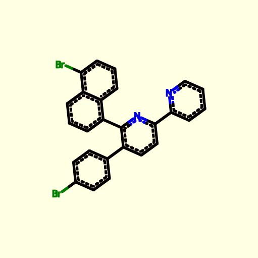 Brc1ccc(-c2ccc(-c3ccccn3)nc2-c2cccc3c(Br)cccc23)cc1